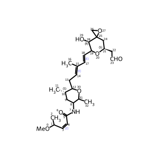 COC(C)/C=C\C(=O)NC1C[C@H](C)C(C/C=C(C)/C=C/C2O[C@H](CC=O)CC3(CO3)[C@@H]2O)OC1C